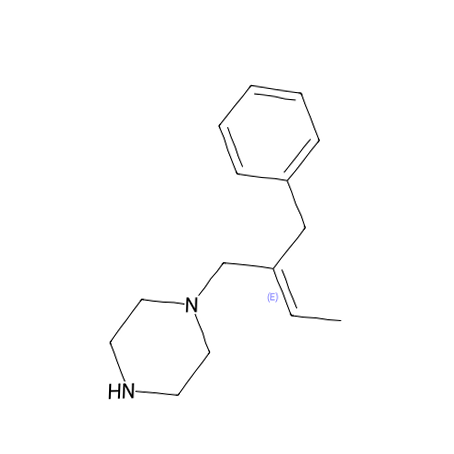 C/C=C(\Cc1ccccc1)CN1CCNCC1